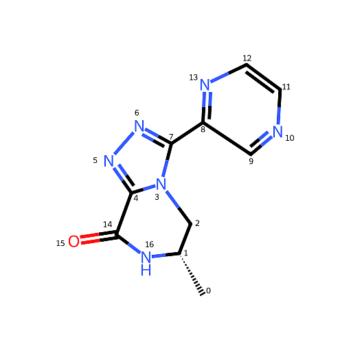 C[C@H]1Cn2c(nnc2-c2cnccn2)C(=O)N1